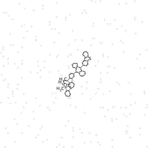 CC1(C)c2ccccc2-c2ccc3c(c21)C(C)(C)c1ccc(-c2c4ccccc4c(-c4ccc5sc6ccccc6c5c4)c4ccccc24)cc1-3